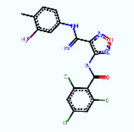 Cc1ccc(NC(=N)c2nonc2NC(=O)c2c(Cl)cc(Cl)cc2Cl)cc1P